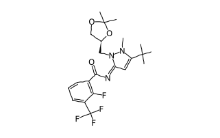 Cn1c(C(C)(C)C)c/c(=N/C(=O)c2cccc(C(F)(F)F)c2F)n1C[C@H]1COC(C)(C)O1